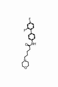 O=C(CCCCN1CCOCC1)Nc1ccc(-c2ccc(F)cc2F)cc1